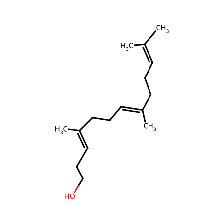 CC(C)=CCCC(C)=CCCC(C)=CCCO